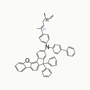 C=C[C@H](C)C/C=C(\C)c1ccc(N(c2ccc(-c3ccccc3)cc2)c2ccc3c(c2)C(c2ccccc2)(c2ccccc2)c2ccc4c(oc5ccccc54)c2-3)cc1